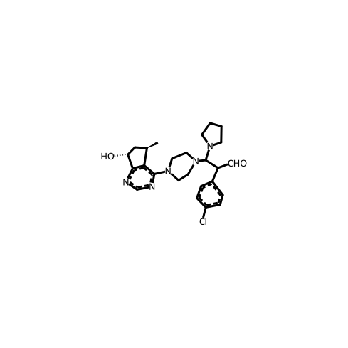 C[C@@H]1C[C@@H](O)c2ncnc(N3CCN(C(C(C=O)c4ccc(Cl)cc4)N4CCCC4)CC3)c21